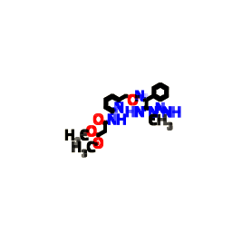 COC(CC(=O)Nc1cccc(CO/N=C(\C(=N)N(C)N=N)c2ccccc2)n1)OC